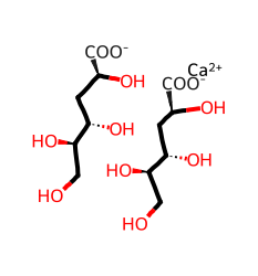 O=C([O-])[C@@H](O)C[C@H](O)[C@H](O)CO.O=C([O-])[C@@H](O)C[C@H](O)[C@H](O)CO.[Ca+2]